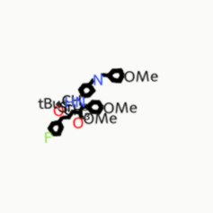 COC(=O)C(CCC(O[Si](C)(C)C(C)(C)C)c1ccc(F)cc1)[C@H](Nc1ccc(CN=Cc2ccc(OC)cc2)cc1)c1ccc(OC)cc1